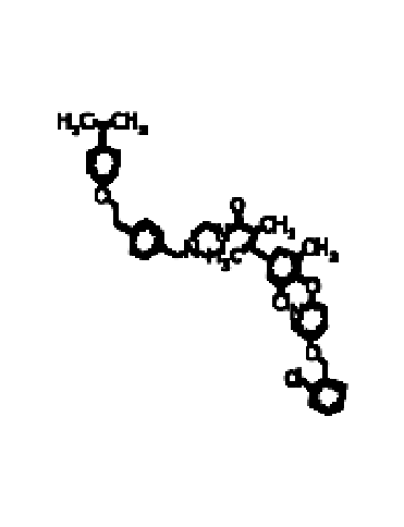 CC(C(=O)N1CCN(Cc2ccc(CCOc3ccc(C(C)C)cc3)cc2)CC1)=C(C)c1cc(C)c(Oc2ccc(OCc3ccccc3Cl)cn2)c(Cl)c1